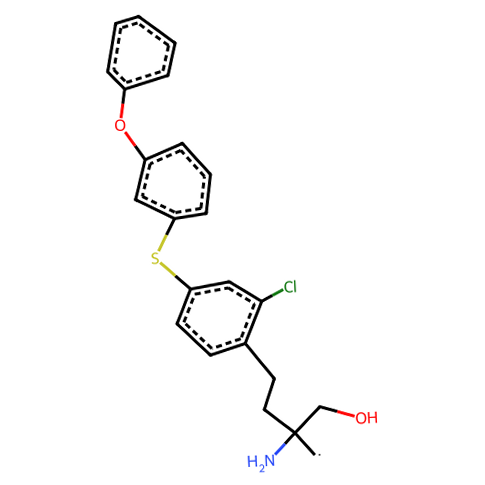 [CH2]C(N)(CO)CCc1ccc(Sc2cccc(Oc3ccccc3)c2)cc1Cl